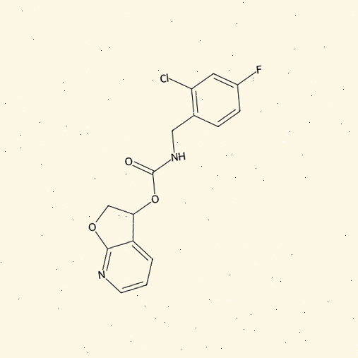 O=C(NCc1ccc(F)cc1Cl)OC1COc2ncccc21